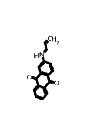 C=CCNc1ccc2c(c1)C(=O)c1ccccc1C2=O